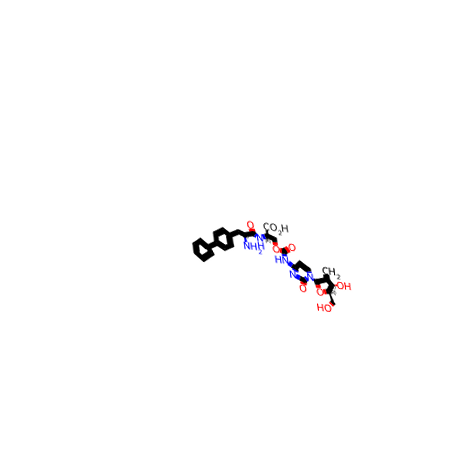 C=C1[C@H](n2ccc(NC(=O)OC[C@@H](NC(=O)[C@@H](N)Cc3ccc(-c4ccccc4)cc3)C(=O)O)nc2=O)O[C@H](CO)[C@H]1O